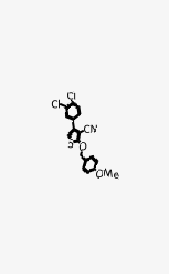 COc1ccc(COc2scc(-c3ccc(Cl)c(Cl)c3)c2C#N)cc1